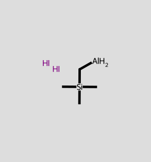 C[Si](C)(C)[CH2][AlH2].I.I